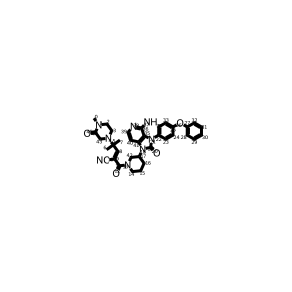 CN1CCN(C(C)(C)C=C(C#N)C(=O)N2CCCC(n3c(=O)n(-c4ccc(Oc5ccccc5)cc4)c4c(N)nccc43)C2)CC1=O